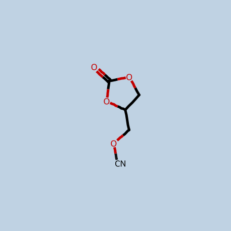 N#COCC1COC(=O)O1